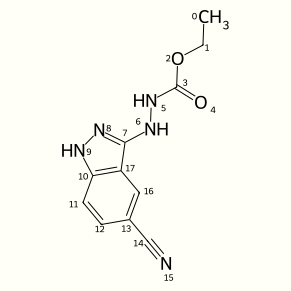 CCOC(=O)NNc1n[nH]c2ccc(C#N)cc12